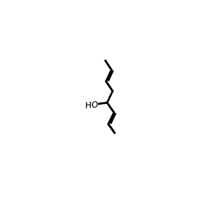 CC=CC(O)C/C=C/C